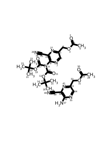 CC(=O)OCc1cnc(N(C(=O)OC(C)(C)C)C(=O)OC(C)(C)C)c(C#N)n1.CC(=O)OCc1cnc(N)c(C#N)n1